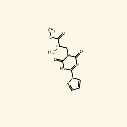 COC(=O)[C@@H](C)Cn1c(=O)nc(-n2cccn2)[nH]c1=O